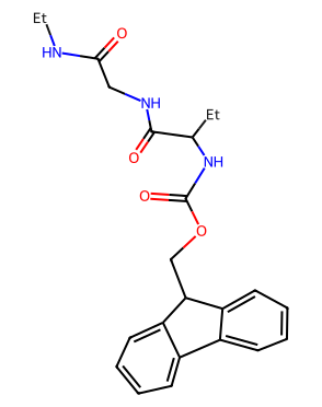 CCNC(=O)CNC(=O)C(CC)NC(=O)OCC1c2ccccc2-c2ccccc21